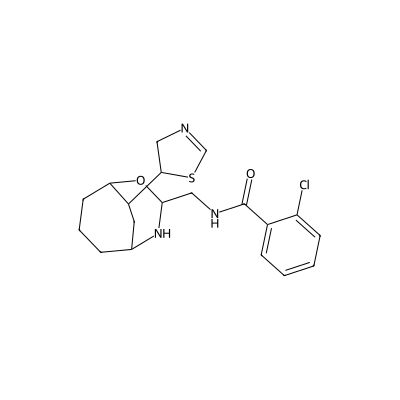 O=C(NCC1NC2CCCC(O1)C(C1CN=CS1)C2)c1ccccc1Cl